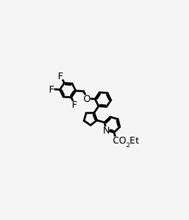 CCOC(=O)c1cccc(C2=C(c3ccccc3OCc3cc(F)c(F)cc3F)CCC2)n1